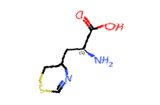 N[C@@H](CC1CSC=N1)C(=O)O